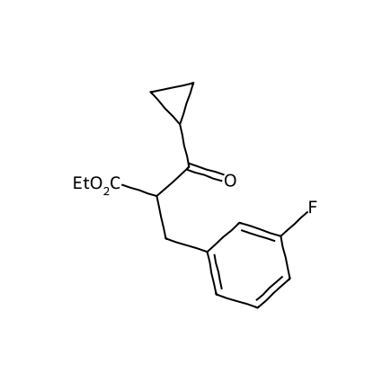 CCOC(=O)C(Cc1cccc(F)c1)C(=O)C1CC1